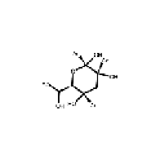 CC(=O)C(O)[C@H]1O[C@@](O)(C(C)=O)[C@@](O)(C(C)=O)C[C@@]1(O)C(C)=O